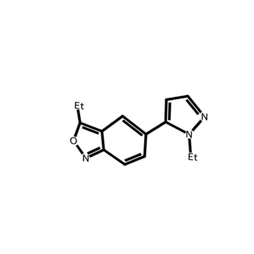 CCc1onc2ccc(-c3ccnn3CC)cc12